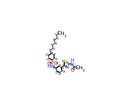 CCCCCCCCc1ccc(S(=O)(=O)Nc2cccc(-c3csc(NC(C)=O)n3)c2)cc1